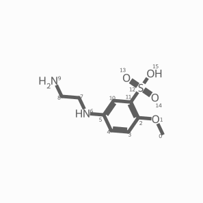 COc1ccc(NCCN)cc1S(=O)(=O)O